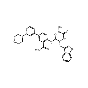 COC(=O)c1cc(-c2cccc(N3CCOCC3)c2)ccc1NC(C#N)C(Cc1c[nH]c2ccccc12)NC(=O)OC(C)(C)C